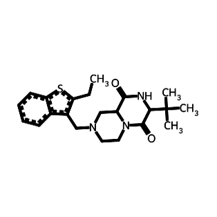 CCc1sc2ccccc2c1CN1CCN2C(=O)C(C(C)(C)C)NC(=O)C2C1